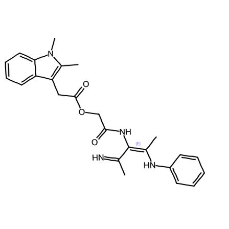 CC(=N)/C(NC(=O)COC(=O)Cc1c(C)n(C)c2ccccc12)=C(/C)Nc1ccccc1